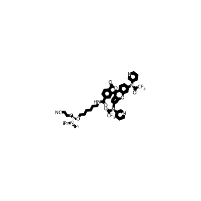 CC(C)N(C(C)C)P(OCCC#N)OCCCCCCNC(=O)c1ccc2c(c1)C1(OC2=O)c2ccc(N(C(=O)C(F)(F)F)c3cccnc3)cc2Oc2cc(N(C(=O)C(F)(F)F)c3cccnc3)ccc21